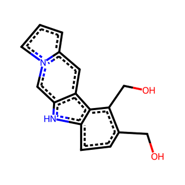 OCc1ccc2[nH]c3cn4cccc4cc3c2c1CO